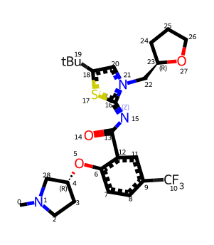 CN1CC[C@@H](Oc2ccc(C(F)(F)F)cc2C(=O)/N=c2\sc(C(C)(C)C)cn2C[C@H]2CCCO2)C1